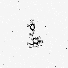 CCCCCNc1c(C=N)nc(NCc2ccc(Cl)c(Cl)c2)[nH]c1=O